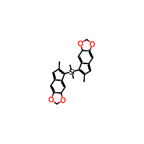 CC1=C([Si](C)(C)C2=C(C)C=C3C=C4OCOC4C=C32)C2=CC3OCOC3=CC2=C1